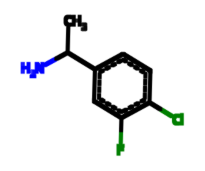 CC(N)c1ccc(Cl)c(F)c1